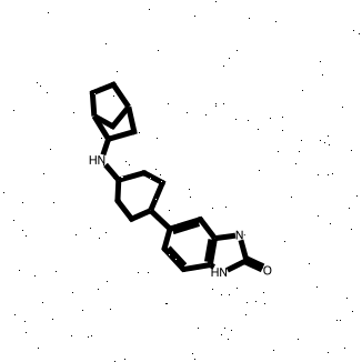 O=C1[N]c2cc(C3CCC(NC4CC5CCC4C5)CC3)ccc2N1